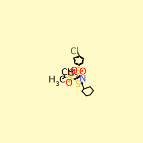 CC(C)S(=O)(=O)c1sc(C2CCCCC2)nc1S(=O)(=O)c1ccc(Cl)cc1